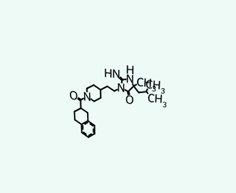 CC(C)CC1(C)NC(=N)N(CCC2CCN(C(=O)C3CCc4ccccc4C3)CC2)C1=O